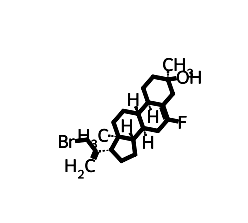 C=C(CBr)[C@H]1CC[C@H]2[C@@H]3CC(F)=C4C[C@](C)(O)CC[C@@H]4[C@H]3CC[C@]12C